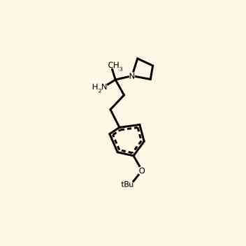 CC(C)(C)Oc1ccc(CCC(C)(N)N2CCC2)cc1